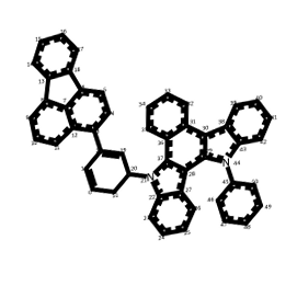 C1=CC(c2ccc3c4c(cccc24)-c2ccccc2-3)=CC(n2c3ccccc3c3c4c(c5ccccc5c32)c2ccccc2n4-c2ccccc2)C1